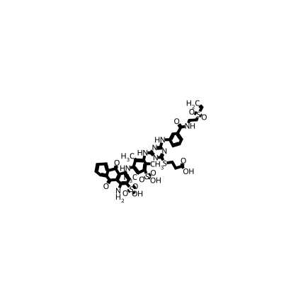 C=CS(=O)(=O)CCNC(=O)c1cccc(Nc2nc(Nc3c(C)c(Nc4cc(S(=O)(=O)O)c(N)c5c4C(=O)c4ccccc4C5=O)c(C)c(S(=O)(=O)O)c3C)nc(SCCC(=O)O)n2)c1